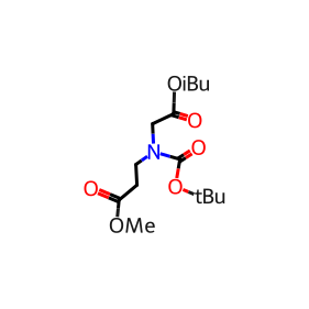 COC(=O)CCN(CC(=O)OCC(C)C)C(=O)OC(C)(C)C